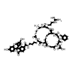 C[C@@H]1CSCC(=O)N[C@@H](CCCCNC(=O)c2ccc3c(c2)C2(OC3=O)c3ccc(O)cc3Oc3cc(O)ccc32)C(=O)N[C@H]2CSSC[C@H](NC(=O)[C@H](Cc3ccccc3)NC(=O)[C@H](CC(=O)O)NC(=O)CNC2=O)C(=O)N[C@@H](CCCNC(=N)N)C(=O)N1